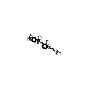 CCOCCCOc1cccc(CNC(=O)c2ccc3ncsc3c2)c1F